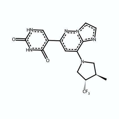 C[C@@H]1CN(c2cc(-c3c[nH]c(=O)[nH]c3=O)nn3ccnc23)C[C@H]1C(F)(F)F